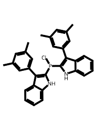 Cc1cc(C)cc(-c2c(P(Cl)c3[nH]c4ccccc4c3-c3cc(C)cc(C)c3)[nH]c3ccccc23)c1